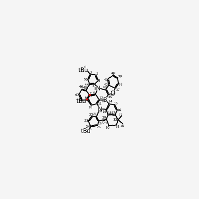 CC(C)(C)c1ccc(N2c3cc(C(C)(C)C)cc4c3B(c3ccc5c6c3N4c3ccc(C(C)(C)C)cc3C6(C)CCC5(C)C)c3oc4ccccc4c32)c(-c2ccccc2)c1